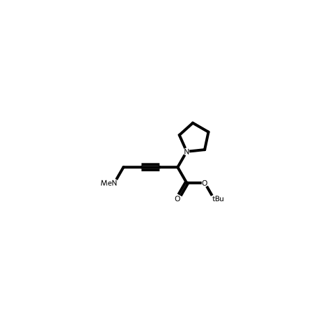 CNCC#CC(C(=O)OC(C)(C)C)N1CCCC1